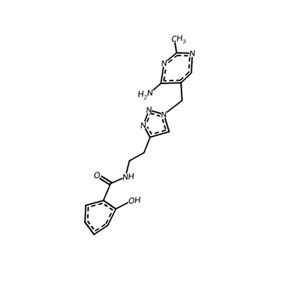 Cc1ncc(Cn2cc(CCNC(=O)c3ccccc3O)nn2)c(N)n1